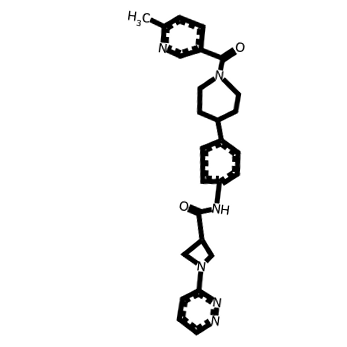 Cc1ccc(C(=O)N2CCC(c3ccc(NC(=O)C4CN(c5cccnn5)C4)cc3)CC2)cn1